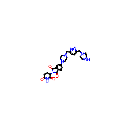 O=C1CCC(N2C(=O)c3ccc(N4CCN(Cc5ccc(CN6CCNCC6)nn5)CC4)cc3C2=O)C(=O)N1